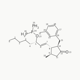 CCCCC[C@@H](/C=C/[C@H]1[C@H](C)CC(=O)[C@@H]1Cc1cccc(C)c1)OP(P)P